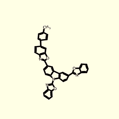 Cc1ccc(-c2ccc3nc(-c4ccc5c(c4)c4cc(-c6nc7ccccc7o6)ccc4n5-c4nc5ccccc5o4)oc3c2)cc1